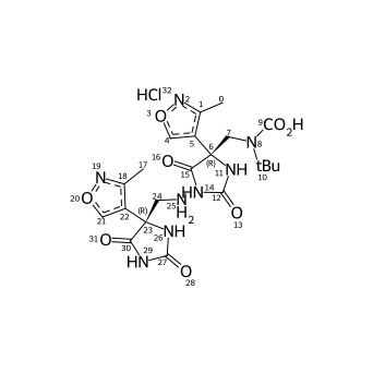 Cc1nocc1[C@]1(CN(C(=O)O)C(C)(C)C)NC(=O)NC1=O.Cc1nocc1[C@]1(CN)NC(=O)NC1=O.Cl